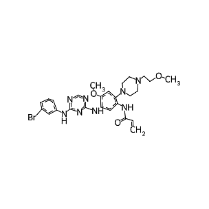 C=CC(=O)Nc1cc(Nc2ncnc(Nc3cccc(Br)c3)n2)c(OC)cc1N1CCN(CCOC)CC1